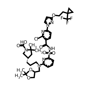 CC1(C)OCC(CN(CCC[C@@H]2CN(C(=O)O)C(C)(C)C2)c2cccc(S(=O)(=O)NC(=O)c3ccc(-n4ccc(OCCC5(C(F)(F)F)CC5)n4)nc3Cl)n2)O1